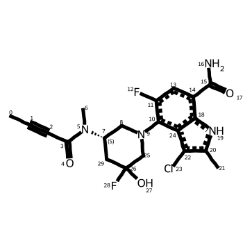 CC#CC(=O)N(C)[C@@H]1CN(c2c(F)cc(C(N)=O)c3[nH]c(C)c(Cl)c23)CC(O)(F)C1